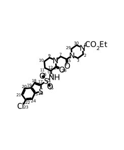 CCOC(=O)N1CCN(C(=O)CN2CCC[C@H](NS(=O)(=O)c3cc4ccc(Cl)cc4s3)C2=O)CC1